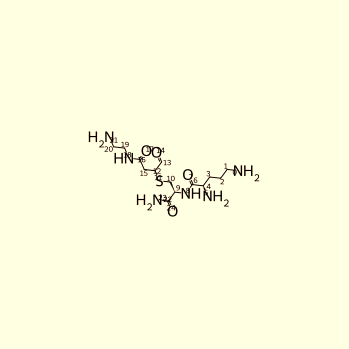 NCCC[C@@H](N)C(=O)N[C@H](CSC(C=O)CC(=O)NCCN)C(N)=O